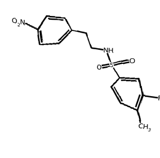 Cc1ccc(S(=O)(=O)NCCc2ccc([N+](=O)[O-])cc2)cc1F